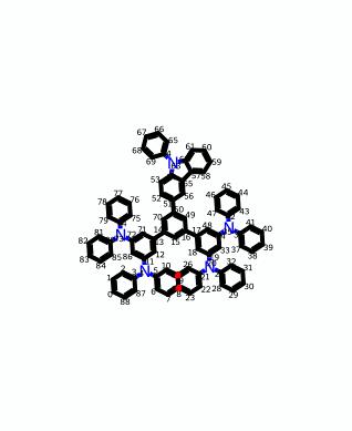 c1ccc(N(c2ccccc2)c2cc(-c3cc(-c4cc(N(c5ccccc5)c5ccccc5)cc(N(c5ccccc5)c5ccccc5)c4)cc(-c4ccc5c(c4)c4ccccc4n5-c4ccccc4)c3)cc(N(c3ccccc3)c3ccccc3)c2)cc1